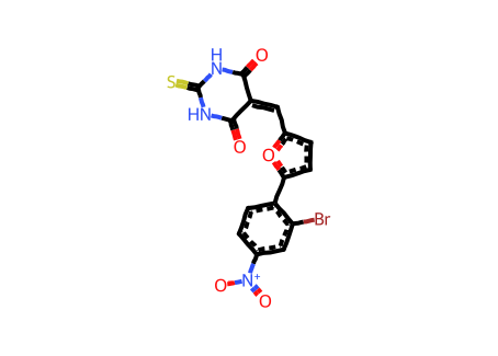 O=C1NC(=S)NC(=O)C1=Cc1ccc(-c2ccc([N+](=O)[O-])cc2Br)o1